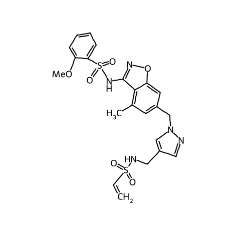 C=CS(=O)(=O)NCc1cnn(Cc2cc(C)c3c(NS(=O)(=O)c4ccccc4OC)noc3c2)c1